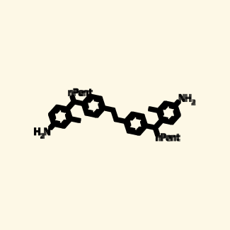 CCCCCC(c1ccc(CCc2ccc(C(CCCCC)c3ccc(N)cc3C)cc2)cc1)c1ccc(N)cc1C